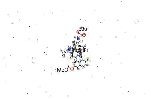 COCOc1cc(-c2nc(C3CCC3)c3c(C4C5CN(C(=O)OC(C)(C)C)CC54)nn(C4CC4)c3c2F)c2c(C#C[Si](C(C)C)(C(C)C)C(C)C)c(F)ccc2c1